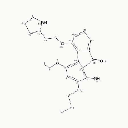 CCCOc1cc(OCC)c2c(c1N)C(=O)c1cccc(OCCC3CCCN3)c1-2